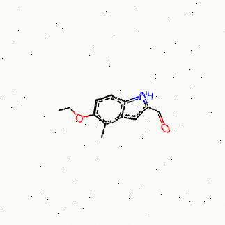 CCOc1ccc2[nH]c(C=O)cc2c1C